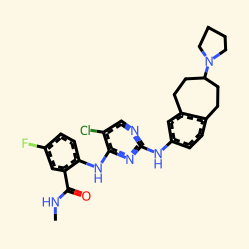 CNC(=O)c1cc(F)ccc1Nc1nc(Nc2ccc3c(c2)CCC(N2CCCC2)CC3)ncc1Cl